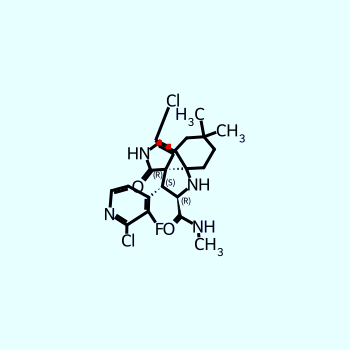 CNC(=O)[C@@H]1NC2(CCC(C)(C)CC2)[C@@]2(C(=O)Nc3cc(Cl)ccc32)[C@H]1c1ccnc(Cl)c1F